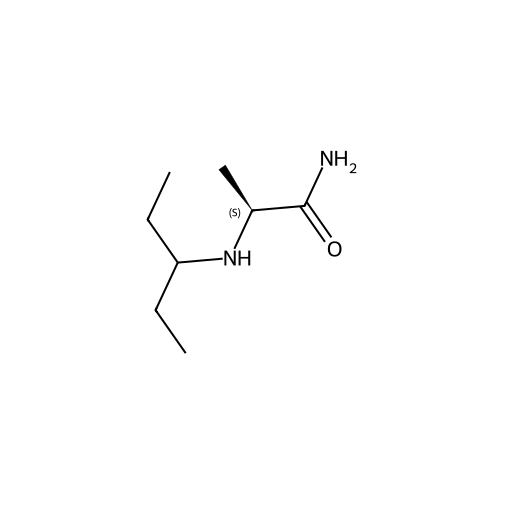 CCC(CC)N[C@@H](C)C(N)=O